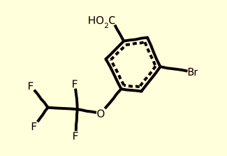 O=C(O)c1cc(Br)cc(OC(F)(F)C(F)F)c1